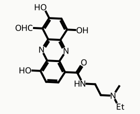 CCN(C)CCNC(=O)c1ccc(O)c2nc3c(C=O)c(O)cc(O)c3nc12